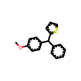 COc1ccc(C(c2ccccc2)c2cccs2)cc1